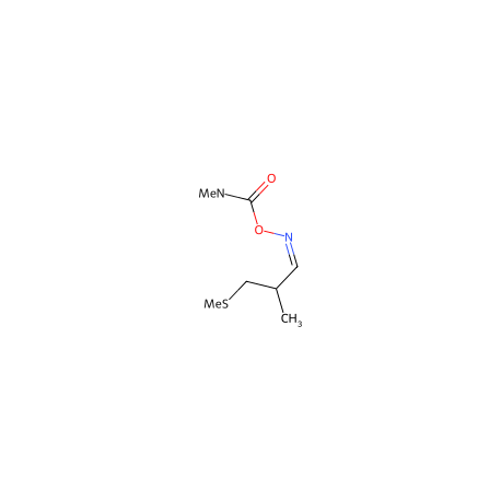 CNC(=O)O/N=C\C(C)CSC